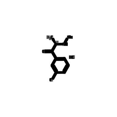 C[C@@H](NC(C)(C)C)C(=O)c1cccc(Cl)c1.Cl